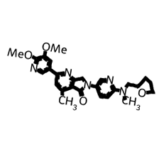 COc1cc(-c2cc(C)c3c(n2)CN(c2ccc(N(C)CC4CCCO4)nc2)C3=O)cnc1OC